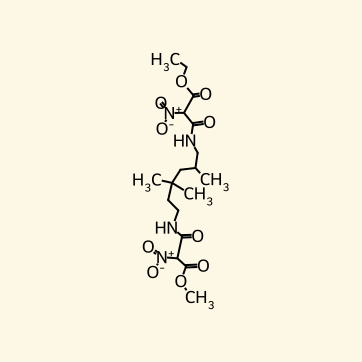 CCOC(=O)C(C(=O)NCC(C)CC(C)(C)CCNC(=O)C(C(=O)OC)[N+](=O)[O-])[N+](=O)[O-]